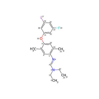 CCN(/C=N/c1cc(C)c(Oc2cc(F)cc(I)c2)cc1C)CC